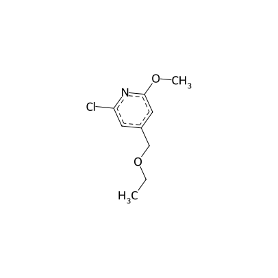 CCOCc1cc(Cl)nc(OC)c1